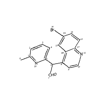 Cc1cccc(C(C=O)c2ccnc3ccc(Br)cc23)n1